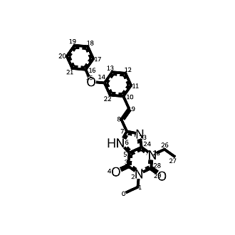 CCn1c(=O)c2[nH]c(/C=C/c3cccc(Oc4ccccc4)c3)nc2n(CC)c1=O